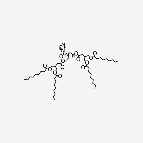 CCCCCCCCC(=O)OCC(COC(=O)CCCCCCCC)CC(=O)OC[C@H]1C[C@H](OC(=O)CC(COC(=O)CCCCCCCC)COC(=O)CCCCCCCC)CN1C(=O)n1ccnc1